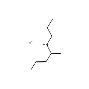 CC=CC(C)NCCC.Cl